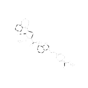 COC1C(=C=O)C(N2CCCCc3ccccc32)=CC=C1C(=O)Nc1cccc2c1ncn2CCN1CCN(C(=O)OC(C)(C)C)CC1